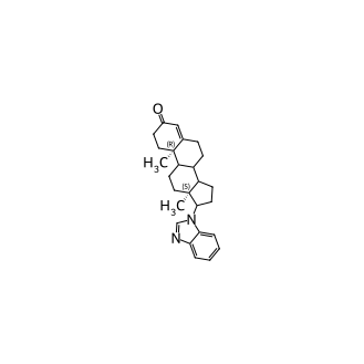 C[C@]12CCC3C(CCC4=CC(=O)CC[C@@]43C)C1CCC2n1cnc2ccccc21